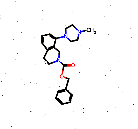 CN1CCN(c2cccc3c2CN(C(=O)OCc2ccccc2)CC3)CC1